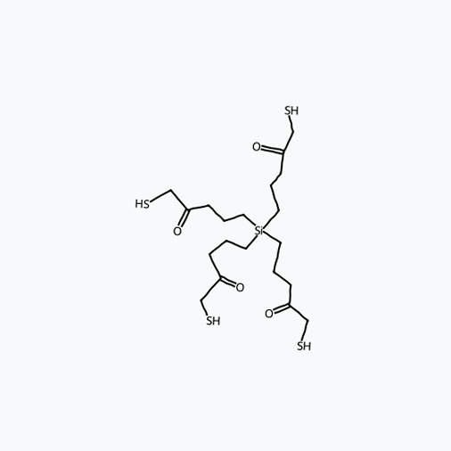 O=C(CS)CCC[Si](CCCC(=O)CS)(CCCC(=O)CS)CCCC(=O)CS